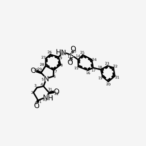 O=C1CCC(N2Cc3cc(NS(=O)(=O)c4ccc(-c5ccccc5)cc4)ccc3C2=O)C(=O)N1